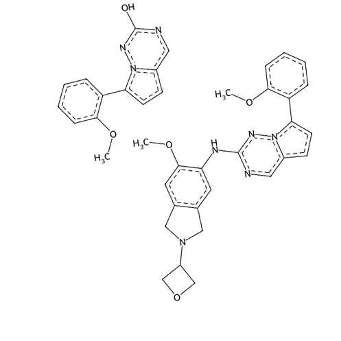 COc1cc2c(cc1Nc1ncc3ccc(-c4ccccc4OC)n3n1)CN(C1COC1)C2.COc1ccccc1-c1ccc2cnc(O)nn12